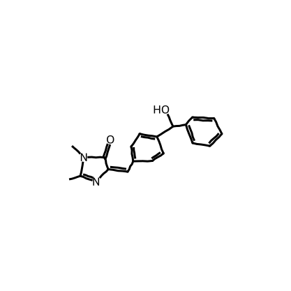 CC1=NC(=Cc2ccc(C(O)c3ccccc3)cc2)C(=O)N1C